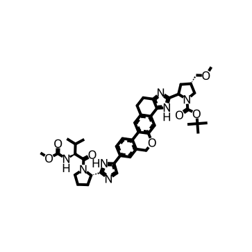 COC[C@H]1CC(c2nc3c([nH]2)-c2cc4c(cc2CC3)-c2ccc(-c3cnc([C@@H]5CCCN5C(=O)[C@@H](NC(=O)OC)C(C)C)[nH]3)cc2CO4)N(C(=O)OC(C)(C)C)C1